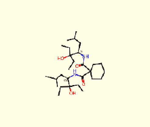 CCC(O)(CC)[C@@H](CC(C)C)NC(=O)C1(C(=O)N[C@H](CC(C)C)C(O)(CC)CC)CCCCC1